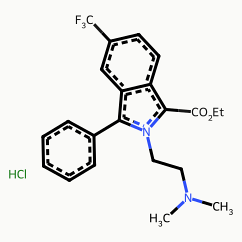 CCOC(=O)c1c2ccc(C(F)(F)F)cc2c(-c2ccccc2)n1CCN(C)C.Cl